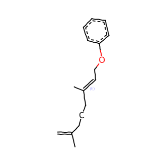 C=C(C)CCC/C(C)=C/COc1ccccc1